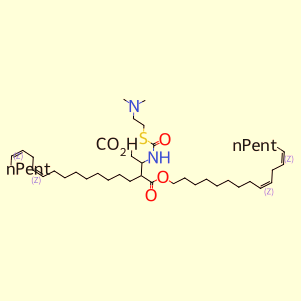 CCCCC/C=C\C/C=C\CCCCCCCCOC(=O)C(CCCCCCCC/C=C\C/C=C\CCCCC)C(CC(=O)O)NC(=O)SCCN(C)C